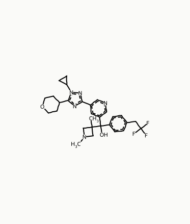 CN1CC(C)(C(O)(c2ccc(CC(F)(F)F)cc2)c2cncc(-c3nc(C4CCOCC4)n(C4CC4)n3)c2)C1